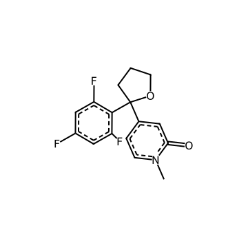 Cn1ccc(C2(c3c(F)cc(F)cc3F)CCCO2)cc1=O